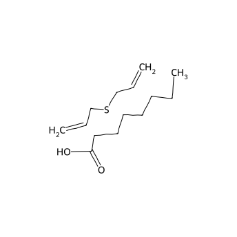 C=CCSCC=C.CCCCCCCC(=O)O